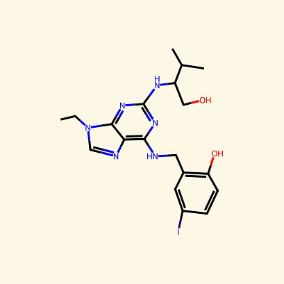 CCn1cnc2c(NCc3cc(I)ccc3O)nc(NC(CO)C(C)C)nc21